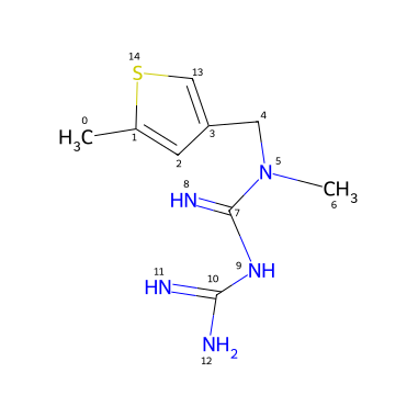 Cc1cc(CN(C)C(=N)NC(=N)N)cs1